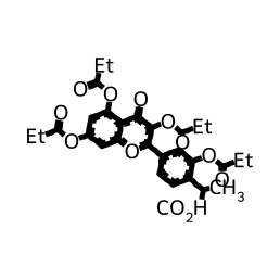 CCC(=O)Oc1cc(OC(=O)CC)c2c(=O)c(OC(=O)CC)c(-c3ccc(C(C)C(=O)O)c(OC(=O)CC)c3)oc2c1